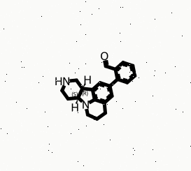 O=Cc1ccccc1-c1cc2c3c(c1)[C@@H]1CNCC[C@@H]1N3CCC2